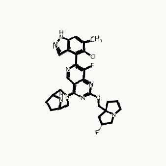 Cc1cc2[nH]ncc2c(-c2ncc3c(N4CC5CCC(C4)N5)nc(OCC45CCCN4C[C@H](F)C5)nc3c2F)c1Cl